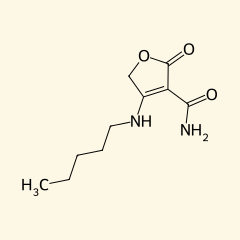 CCCCCNC1=C(C(N)=O)C(=O)OC1